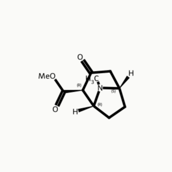 COC(=O)[C@H]1C(=O)C[C@@H]2CC[C@H]1N2C